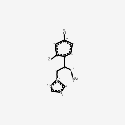 CCCCOC(Cn1cncn1)c1ccc(Cl)cc1Cl